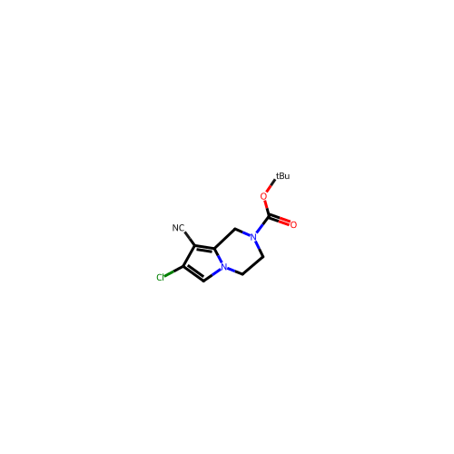 CC(C)(C)OC(=O)N1CCn2cc(Cl)c(C#N)c2C1